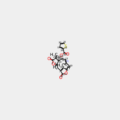 C=C1C(=O)O[C@H]2CC3=C[C@@H](C/C(C)=C/[C@@H](OC(=O)c4cccs4)[C@H]12)OC3=O